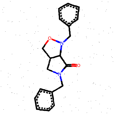 O=C1C2C(CON2Cc2ccccc2)CN1Cc1ccccc1